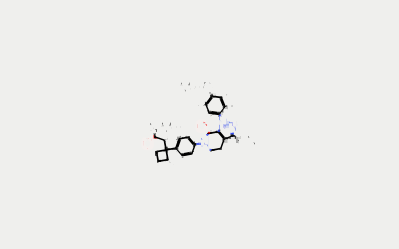 CNC(=O)CC1(c2ccc(N3CCc4c(C#N)nn(-c5ccc(OC)cc5)c4C3=O)cc2)CCC1